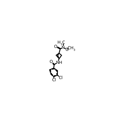 CON(C)C(=O)C12CC(NC(=O)c3ccc(Cl)c(Cl)c3)(C1)C2